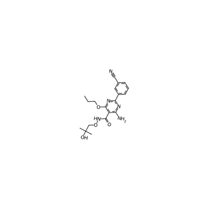 CCCOc1nc(-c2cccc(C#N)c2)nc(N)c1C(=O)NOCC(C)(C)O